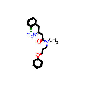 CN(CCCOc1ccccc1)C(=O)C[C@H](N)Cc1ccccc1F